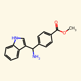 COC(=O)c1ccc(C(N)c2c[nH]c3ccccc23)cc1